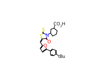 CC(C)(C)c1ccc(-c2ccc(C=C3SC(=S)N(C4CCCC(C(=O)O)C4)C3=O)o2)cc1